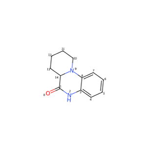 O=C1Nc2ccccc2N2CCCCC12